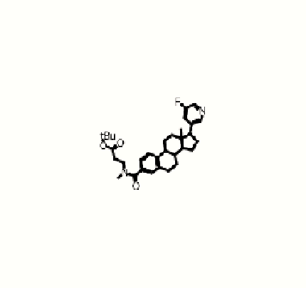 CN(CCC(=O)OC(C)(C)C)C(=O)c1ccc2c(c1)CCC1C2CCC2(C)C1CC[C@@H]2c1cncc(F)c1